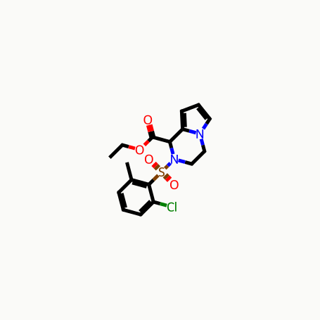 CCOC(=O)C1c2cccn2CCN1S(=O)(=O)c1c(C)cccc1Cl